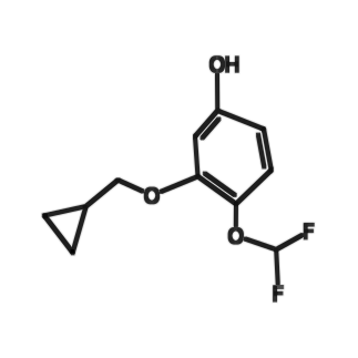 Oc1ccc(OC(F)F)c(OCC2CC2)c1